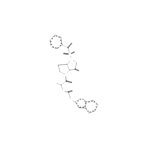 CCCC(NC(=O)Oc1cc2ccccc2s1)C(=O)N1CCC2C1C(=O)CN2S(=O)(=O)C(=O)c1cccnc1